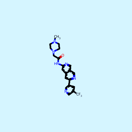 CN1CCN(CC(=O)Nc2cc3cc(-c4cncc(C(F)(F)F)c4)ncc3cn2)CC1